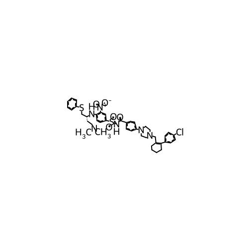 CN(C)CC[C@H](CSc1ccccc1)Nc1ccc(S(=O)(=O)NC(=O)c2ccc(N3CCN(CC4=C(c5ccc(Cl)cc5)CCCC4)CC3)cc2)cc1[N+](=O)[O-]